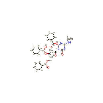 CSNc1ncn([C@@H]2O[C@H](COC(=O)c3ccccc3)C(OC(=O)c3ccccc3)[C@@H]2OC(=O)c2ccccc2)c(=O)n1